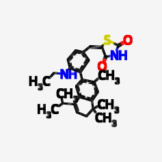 CCNc1ccc(C=C2SC(=O)NC2=O)cc1-c1cc2c(cc1C)C(C)(C)CC=C2C(C)C